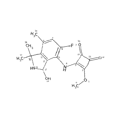 COc1c(Nc2c(F)cc(C)c3c2C(O)NC3(C)C)c(=O)c1=O